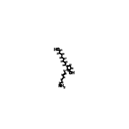 NCCCCC=CC[C@H]1[C@H](O)CC[C@H]1C=CCCCCCCO